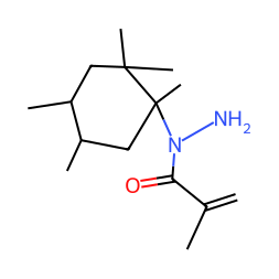 C=C(C)C(=O)N(N)C1(C)CC(C)C(C)CC1(C)C